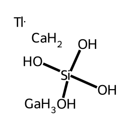 O[Si](O)(O)O.[CaH2].[GaH3].[Tl]